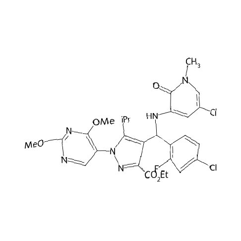 CCOC(=O)c1nn(-c2cnc(OC)nc2OC)c(C(C)C)c1C(Nc1cc(Cl)cn(C)c1=O)c1ccc(Cl)cc1F